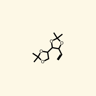 C=CC1OC(C)(C)OC1C1COC(C)(C)O1